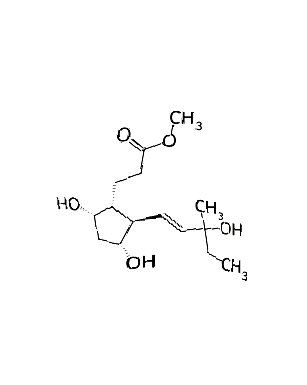 CCC(C)(O)/C=C/[C@@H]1[C@@H](CCC(=O)OC)[C@@H](O)C[C@H]1O